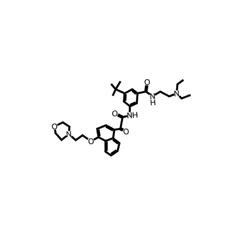 CCN(CC)CCNC(=O)c1cc(NC(=O)C(=O)c2ccc(OCCN3CCOCC3)c3ccccc23)cc(C(C)(C)C)c1